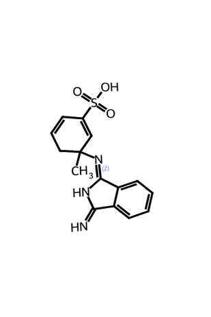 CC1(/N=C2\NC(=N)c3ccccc32)C=C(S(=O)(=O)O)C=CC1